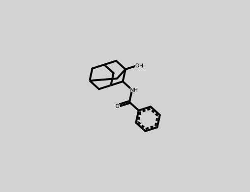 O=C(NC1C2CC3CC(C2)CC1(O)C3)c1ccccc1